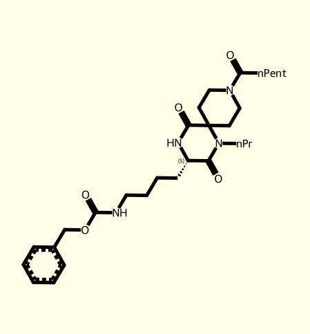 CCCCCC(=O)N1CCC2(CC1)C(=O)N[C@@H](CCCCNC(=O)OCc1ccccc1)C(=O)N2CCC